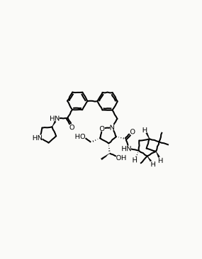 C[C@@H]1[C@@H](NC(=O)[C@@H]2[C@H]([C@H](C)O)[C@H](CO)ON2Cc2cccc(-c3cccc(C(=O)N[C@H]4CCNC4)c3)c2)C[C@H]2C[C@@H]1C2(C)C